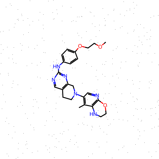 COCCOc1ccc(Nc2ncc3c(n2)CN(c2cnc4c(c2C)NCCO4)CC3)cc1